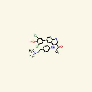 CN(C)CCc1ccc(Nc2c(C(=O)C3CC3)cnc3ccc(-c4cc(Cl)c(O)c(Cl)c4)cc23)cc1